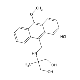 COc1c2ccccc2c(CNC(C)(CO)CO)c2ccccc12.Cl